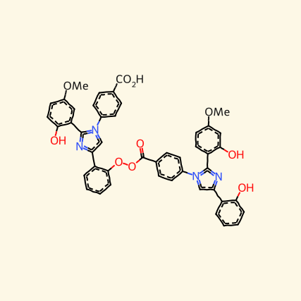 COc1ccc(-c2nc(-c3ccccc3O)cn2-c2ccc(C(=O)OOc3ccccc3-c3cn(-c4ccc(C(=O)O)cc4)c(-c4cc(OC)ccc4O)n3)cc2)c(O)c1